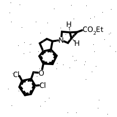 CCOC(=O)C1[C@H]2CN(C3CCc4cc(OCc5c(Cl)cccc5Cl)ccc43)C[C@@H]12